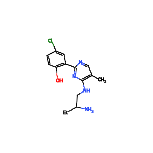 CCC(N)CNc1nc(-c2cc(Cl)ccc2O)ncc1C